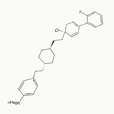 CCCCCCCc1ccc(CC[C@H]2CC[C@H](CCC3(Cl)C=CC(c4ccccc4F)=CC3)CC2)cc1